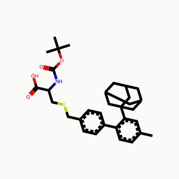 Cc1ccc(-c2ccc(CSCC(NC(=O)OC(C)(C)C)C(=O)O)cc2)c(C23CC4CC(CC(C4)C2)C3)c1